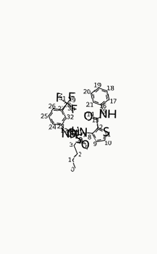 CCCCS(=O)(=O)Nc1ccsc1C(=O)Nc1ccccc1.Nc1cccc(C(F)(F)F)c1